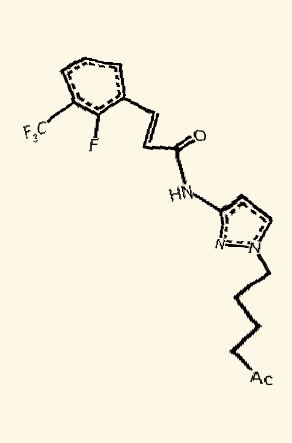 CC(=O)CCCCn1ccc(NC(=O)C=Cc2cccc(C(F)(F)F)c2F)n1